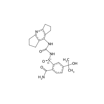 CC(C)(O)c1ccc(C(N)=O)c([S@@+]([O-])NC(=O)Nc2c3c(nc4c2CCC4)CCC3)c1